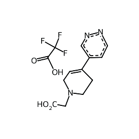 O=C(O)C(F)(F)F.O=C(O)CN1CC=C(c2ccnnc2)CC1